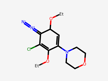 CCOC1=C(Cl)C(=[N+]=[N-])C(OCC)C=C1N1CCOCC1